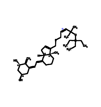 C=C1C(=CC=C2CCC[C@]3(C)C(CSC/C=C\C(C)(C)O[Si](CC)(CC)CC)=CC[C@@H]23)C[C@@H](O)C[C@@H]1O